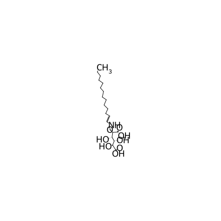 CCCCCCCCCCCC/C=C/NO[C@@H](C(=O)O)[C@@H](O)[C@H](O)[C@H](O)C(=O)O